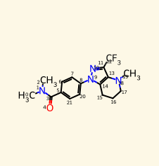 CN(C)C(=O)c1ccc(-n2nc(C(F)(F)F)c3c2CCCN3C)cc1